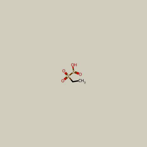 CCS(=O)(=O)S(=O)O